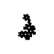 CC(O)C(CCCc1ccccc1)n1nnc2c(=O)[nH]c(C(Cc3ccccc3)C3=COCO3)nc21